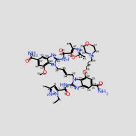 CCn1nc(C)cc1C(=O)Nc1nc2cc(C(N)=O)cc(OCCCN3CCOCC3)c2n1C/C=C/Cn1c(NC(=O)c2oc(C)nc2C)nc2cc(C(N)=O)cc(OC)c21